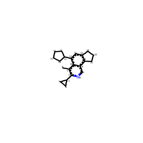 Cc1c(C2CC2)ncc2c3c(cc(C4CCCC4)c12)CCC3